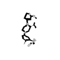 COc1cc(N2CCN(c3ccc(F)c(S(C)(=O)=O)c3)C[C@H]2C(C)C)ccn1